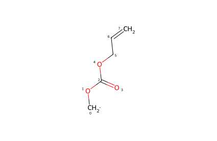 [CH2]OC(=O)OCC=C